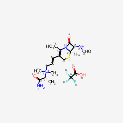 C[C@H](C(N)=O)[N+](C)(C)C/C=C/C1=C(C(=O)O)N2C(=O)[C@@H](NC=O)[C@H]2SC1.O=C(O)C(F)(F)F